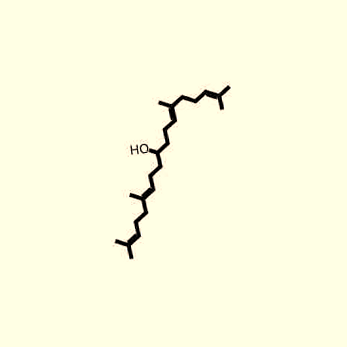 CC(C)=CCC/C(C)=C/CCC(O)CC/C=C(\C)CCC=C(C)C